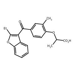 CCc1oc2ccccc2c1C(=O)c1ccc(OC(C)C(=O)O)c(C)c1